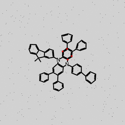 CC1(C)c2ccccc2-c2ccc(N(c3ccc(-c4ccccc4)cc3)c3cc(-c4ccccc4)c(-c4ccccc4)cc3N(c3ccc(-c4ccccc4)cc3)c3ccc(-c4ccccc4)cc3)cc21